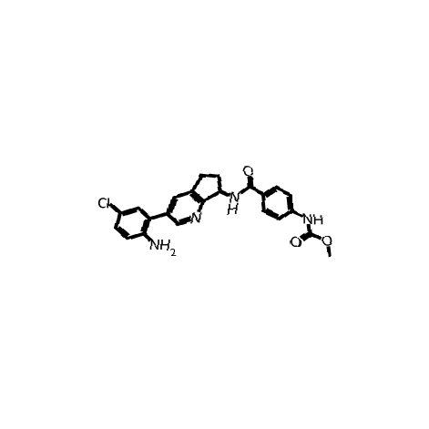 COC(=O)Nc1ccc(C(=O)NC2CCc3cc(-c4cc(Cl)ccc4N)cnc32)cc1